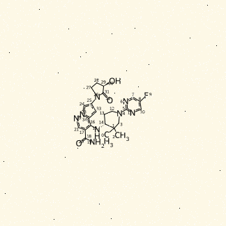 CC1(C)CN(c2ncc(F)cn2)CC[C@H]1Nc1c(C(N)=O)cnn2cc(N3CC[C@@H](O)C3=O)cc12